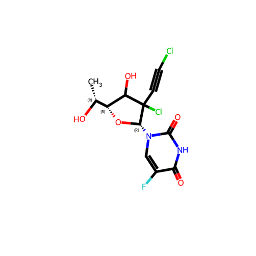 C[C@@H](O)[C@H]1O[C@@H](n2cc(F)c(=O)[nH]c2=O)C(Cl)(C#CCl)C1O